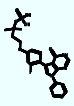 CC(C)(CCOc1ccc(-c2cn(-c3ccccc3)c3nc[nH]c(=O)c23)c(F)c1)OP(=O)(O)O